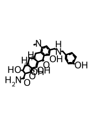 CN(C)c1cc(CNCc2ccc(O)cc2)c(O)c2c1C[C@H]1C[C@H]3CC(O)C(C(N)=O)C(=O)[C@@]3(O)C(O)=C1C2=O